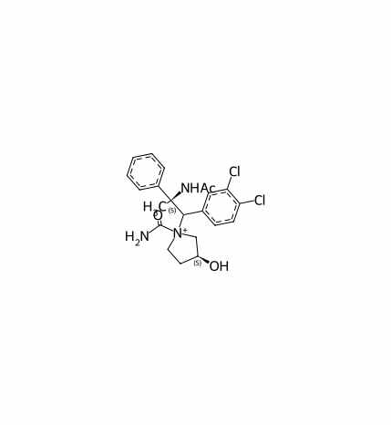 CC(=O)N[C@@](C)(c1ccccc1)C(c1ccc(Cl)c(Cl)c1)[N+]1(C(N)=O)CC[C@H](O)C1